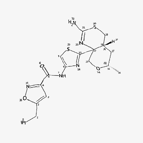 CC(C)Cc1cc(C(=O)Nc2csc(C34CO[C@@H](C)C[C@H]3CSC(N)=N4)n2)no1